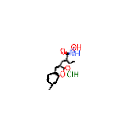 CCC(Cc1cc2ccc(C)cc2oc1=O)C(=O)NO.Cl